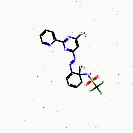 Cc1cc(/N=N/C2=CC=CCC2(C)NS(=O)(=O)C(F)(F)F)nc(-c2ccccn2)n1